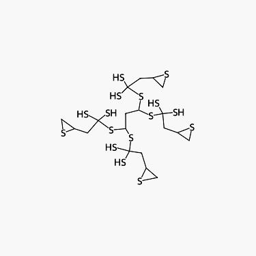 SC(S)(CC1CS1)SC(CC(SC(S)(S)CC1CS1)SC(S)(S)CC1CS1)SC(S)(S)CC1CS1